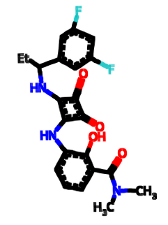 CCC(Nc1c(Nc2cccc(C(=O)N(C)C)c2O)c(=O)c1=O)c1cc(F)cc(F)c1